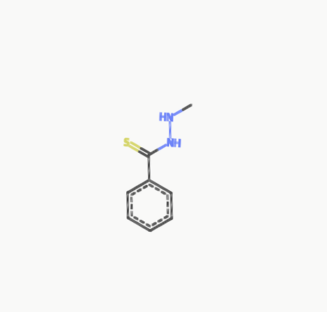 CNNC(=S)c1ccccc1